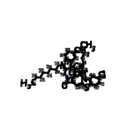 CCCCCCCCN1/C(=C\C2=C(O)C(=C\C3=[N+](CCCCCCCC)c4ccc(C)cc4C3(C)C)/C2=O)Sc2ccc(Cl)cc21